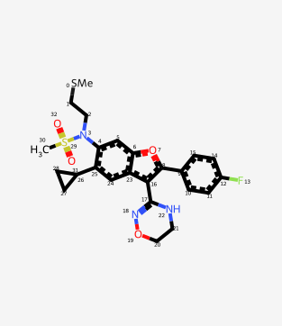 CSCCN(c1cc2oc(-c3ccc(F)cc3)c(C3=NOCCN3)c2cc1C1CC1)S(C)(=O)=O